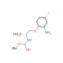 CC(C)(C)OC(O)N[C@@H](COc1ccc(F)cc1N)C(=O)O